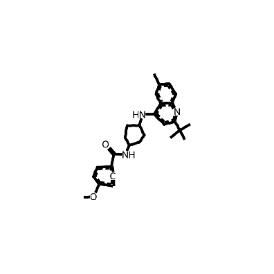 COc1ccc(C(=O)NC2CCC(Nc3cc(C(C)(C)C)nc4ccc(C)cc34)CC2)cc1